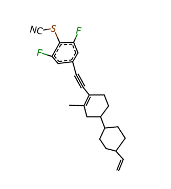 C=CC1CCC(C2CCC(C#Cc3cc(F)c(SC#N)c(F)c3)=C(C)C2)CC1